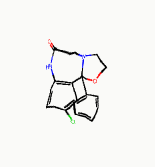 O=C1CN2CCOC2(c2ccccc2)c2cc(Cl)ccc2N1